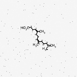 CC(=CCCC(=O)O)CCC=C(C)CCCN(C)C